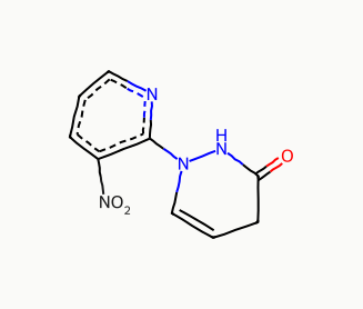 O=C1CC=CN(c2ncccc2[N+](=O)[O-])N1